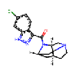 O=C(c1n[nH]c2cc(Cl)ccc12)N1[C@H]2C[C@@H]3CCN(C2)C[C@@H]31